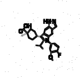 COc1cc(-n2c(C(C)C)c([C@H]3CC[C@](C)(C(=O)O)CC3)c3cc4[nH]ncc4cc32)ccc1F